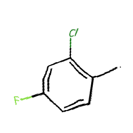 [CH2]c1ccc(F)cc1Cl